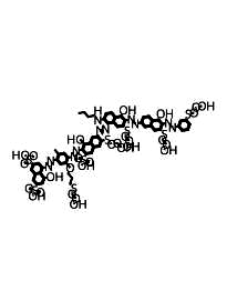 CCCCNc1ccc2c(O)c(N=Nc3ccc4c(O)c(N=Nc5cccc(SOOO)c5)c(SOOO)cc4c3)c(SOOO)cc2c1N=Nc1cc2c(O)c(N=Nc3cc(C)c(N=Nc4cc(S(=O)(=O)O)cc5cc(S(=O)(=O)O)cc(O)c45)cc3OCCCSOOO)c(S(=O)(=O)O)cc2cc1SOOO